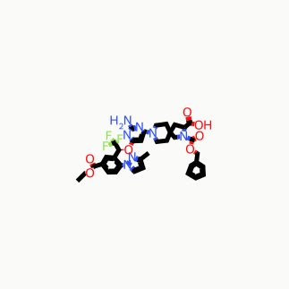 CCOC(=O)c1ccc(-n2ccc(C)n2)c([C@@H](Oc2cc(N3CCC4(CC3)CC(C(=O)O)N(C(=O)OCc3ccccc3)C4)nc(N)n2)C(F)(F)F)c1